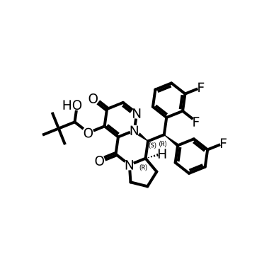 CC(C)(C)C(O)Oc1c2n(ncc1=O)[C@@H]([C@H](c1cccc(F)c1)c1cccc(F)c1F)[C@H]1CCCN1C2=O